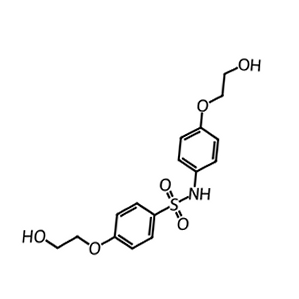 O=S(=O)(Nc1ccc(OCCO)cc1)c1ccc(OCCO)cc1